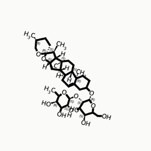 CC1O[C@@H](O[C@H]2C(O)[C@H](O)C(CO)O[C@H]2OC2CC[C@@]3(C)C(=CC[C@H]4[C@@H]5C[C@@H]6O[C@]7(CC[C@@H](C)CO7)[C@@H](C)[C@@H]6[C@@]5(C)CC[C@@H]43)C2)[C@@H](O)C(O)[C@H]1O